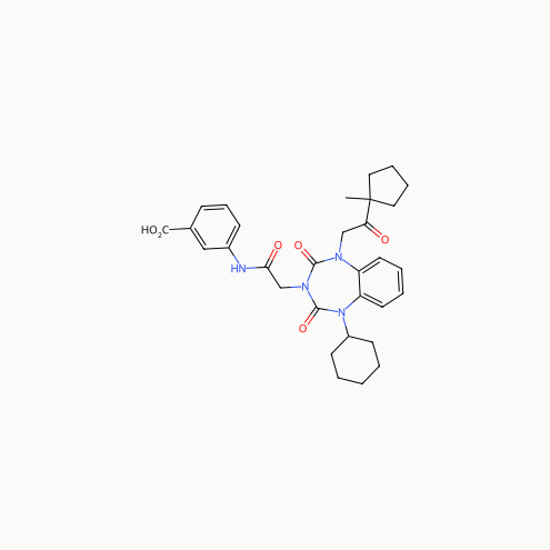 CC1(C(=O)CN2C(=O)N(CC(=O)Nc3cccc(C(=O)O)c3)C(=O)N(C3CCCCC3)c3ccccc32)CCCC1